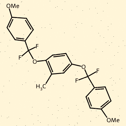 COc1ccc(C(F)(F)Oc2ccc(OC(F)(F)c3ccc(OC)cc3)c(C)c2)cc1